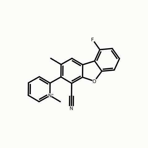 Cc1cc2c(oc3cccc(F)c32)c(C#N)c1-c1cccc[n+]1C